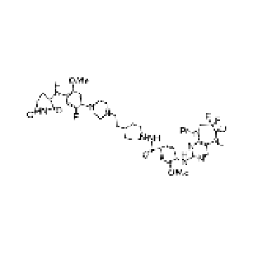 COc1cc(C(=O)NN2CCC(CCN3CCN(c4cc(OC)c(NC5CCC(=O)NC5=O)cc4F)CC3)CC2)ccc1Nc1ncc2c(n1)N(C(C)C)CC(F)(F)C(=O)N2C